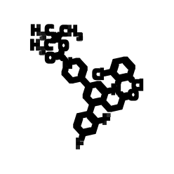 CC(C)(C)OC(=O)N1CC=C(c2cc(-c3ccc(F)cc3F)c3c(c2)N(c2c(Cl)cccc2Cl)C(=O)CC3)CC1